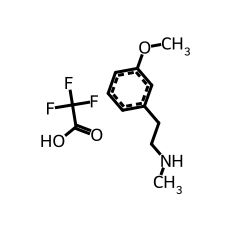 CNCCc1cccc(OC)c1.O=C(O)C(F)(F)F